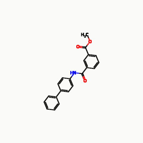 COC(=O)c1cccc(C(=O)Nc2ccc(-c3ccccc3)cc2)c1